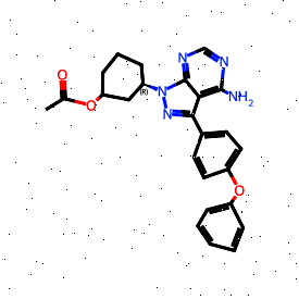 CC(=O)OC1CCC[C@@H](n2nc(-c3ccc(Oc4ccccc4)cc3)c3c(N)ncnc32)C1